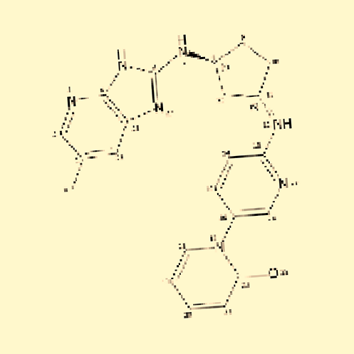 Cc1cnc2[nH]c(N[C@H]3CC[C@H](Nc4ccc(-n5ccccc5=O)cn4)C3)nc2c1